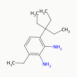 CCc1ccc(C(CC)(CC)CC)c(N)c1N